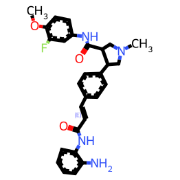 COc1ccc(NC(=O)C2CN(C)CC2c2ccc(/C=C/C(=O)Nc3ccccc3N)cc2)cc1F